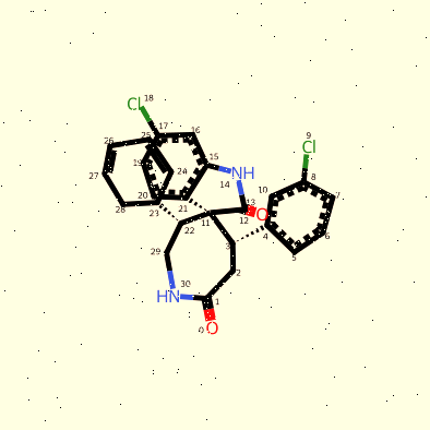 O=C1C[C@@H](c2cccc(Cl)c2)[C@]2(C(=O)Nc3cc(Cl)ccc32)[C@@H](C2C=CC=CC2)CN1